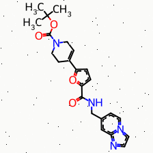 CC(C)(C)OC(=O)N1CC=C(c2ccc(C(=O)NCc3ccn4ccnc4c3)o2)CC1